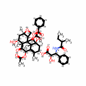 CCC(C)C(=O)N[C@@H](c1ccccc1)[C@@H](O)C(=O)O[C@H]1C[C@@]2(O)[C@@H](OC(=O)c3ccccc3)C34[C@]5(OC(C)=O)CO[C@@H]5C[C@H](O)[C@@]3(C)C(=O)[C@H](OC(C)=O)C(=C1C)[C@]42C